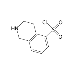 O=S(=O)(Cl)c1cccc2c1CCNC2